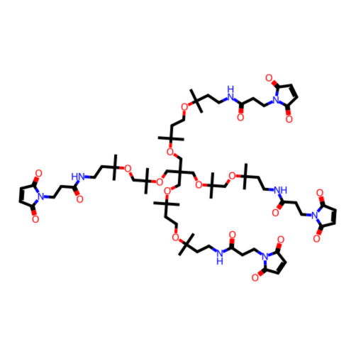 CC(C)(CCNC(=O)CCN1C(=O)C=CC1=O)OCCC(C)(C)OCC(COC(C)(C)CCOC(C)(C)CCNC(=O)CCN1C(=O)C=CC1=O)(COC(C)(C)COC(C)(C)CCNC(=O)CCN1C(=O)C=CC1=O)COC(C)(C)COC(C)(C)CCNC(=O)CCN1C(=O)C=CC1=O